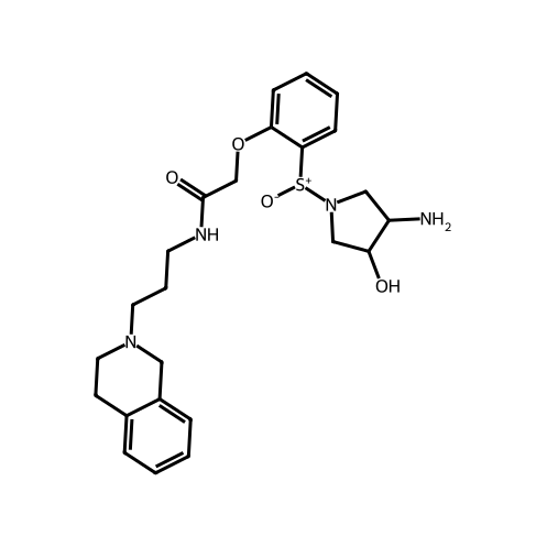 NC1CN([S+]([O-])c2ccccc2OCC(=O)NCCCN2CCc3ccccc3C2)CC1O